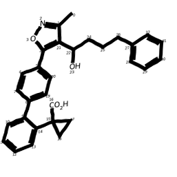 Cc1noc(-c2ccc(-c3ccccc3C3(C(=O)O)CC3)cc2)c1C(O)CCCc1ccccc1